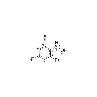 O[SiH2]c1c(F)cc(F)cc1F